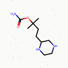 CC(C)(CCC1CNCCN1)OC(N)=O